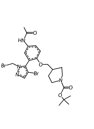 CC(=O)Nc1ccc(OCC2CCN(C(=O)OC(C)(C)C)CC2)c(-c2c(Br)cnn2CBr)c1